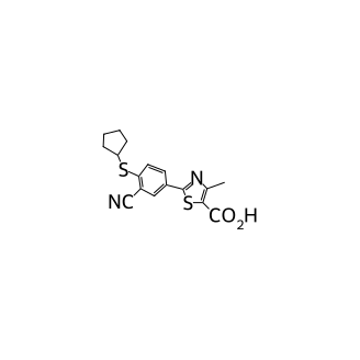 Cc1nc(-c2ccc(SC3CCCC3)c(C#N)c2)sc1C(=O)O